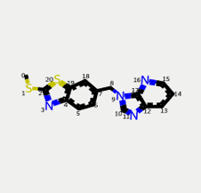 CSc1nc2ccc(Cn3cnc4cccnc43)cc2s1